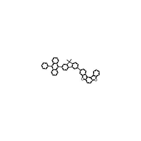 CC1(C)c2ccc(-c3ccc4c(c3)oc3ccc5oc6ccccc6c5c34)cc2-c2ccc(-c3c4ccccc4c(-c4ccccc4)c4ccccc34)cc21